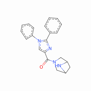 O=C(c1cn(-c2ccccc2)c(-c2ccccc2)n1)N1CC2CC(C1)N2